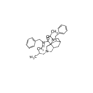 CC(=O)N1CC2CC3CN(CC(C)C)C(C2Cc2ccccc2)C31C(=O)NCc1ccccc1